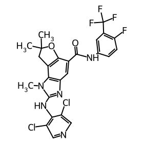 Cn1c(Nc2c(Cl)cncc2Cl)nc2cc(C(=O)Nc3ccc(F)c(C(F)(F)F)c3)c3c(c21)CC(C)(C)O3